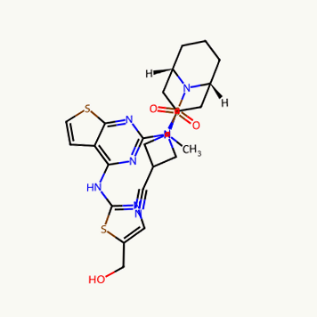 CN(c1nc(Nc2ncc(CO)s2)c2ccsc2n1)[C@@H]1C[C@H]2CCC[C@@H](C1)N2S(=O)(=O)N1CC(C#N)C1